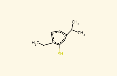 CCc1ccc(C(C)C)cc1S